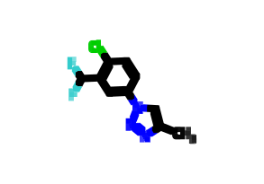 Cc1cn(-c2ccc(Cl)c(C(F)F)c2)nn1